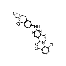 CCN1CCc2cc(Nc3ncc4c(n3)SCN(c3c(Cl)cccc3Cl)C4=O)ccc2C12CC2